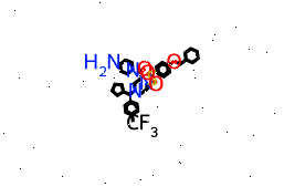 NC1CCN(C(=O)[C@H]2CN([C@@H](c3ccc(C(F)(F)F)cc3)C3CCCC3)CCN2S(=O)(=O)c2ccc(OCC3CCCCC3)cc2)CC1